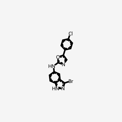 Clc1ccc(-c2cnc(Nc3ccc4[nH]nc(Br)c4c3)o2)cc1